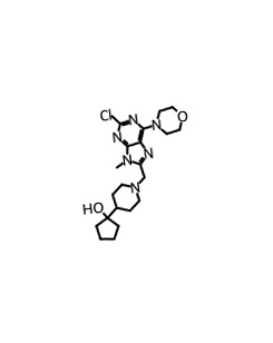 Cn1c(CN2CCC(C3(O)CCCC3)CC2)nc2c(N3CCOCC3)nc(Cl)nc21